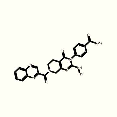 CNC(=O)c1ccc(-n2c(NC(C)C)nc3c(c2=O)CCN(C(=O)c2cnc4ccccc4n2)C3)cc1